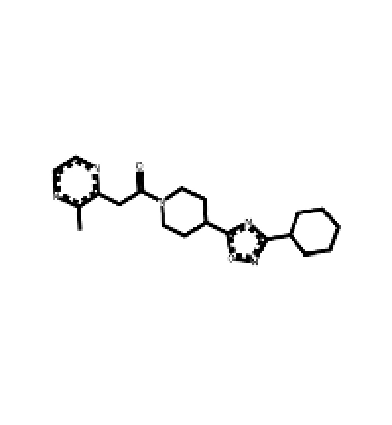 Cc1nccnc1CC(=O)N1CCC(c2nc(C3CCCCC3)no2)CC1